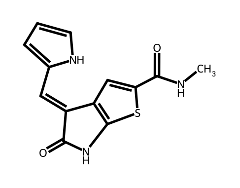 CNC(=O)c1cc2c(s1)NC(=O)C2=Cc1ccc[nH]1